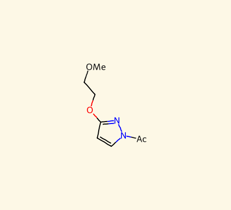 COCCOc1ccn(C(C)=O)n1